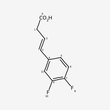 O=C(O)C/C=C/c1ccc(F)c(F)c1